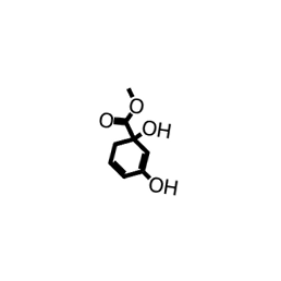 COC(=O)C1(O)C=C(O)C=CC1